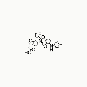 Cc1ccc(Nc2cccc3c2OC[C@H]3N(C(=O)C(F)(F)F)c2ccc3c(c2)OC[C@H]3C(C)C(=O)O)cn1